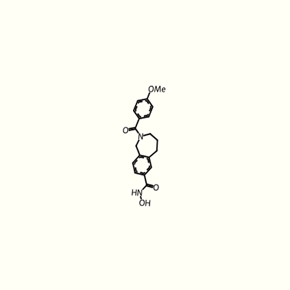 COc1ccc(C(=O)N2CCCc3cc(C(=O)NO)ccc3C2)cc1